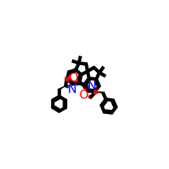 CC1(C)CC2(CC(C)(C)c3cccc(C4=N[C@@H](Cc5ccccc5)CO4)c32)c2c(C3=N[C@@H](Cc4ccccc4)CO3)cccc21